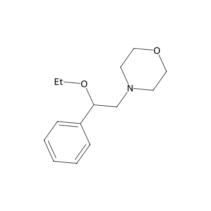 CCOC(CN1CCOCC1)c1ccccc1